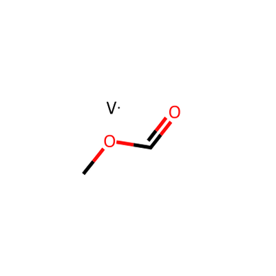 COC=O.[V]